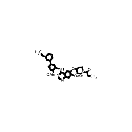 C=CC(=O)N1CCC(Oc2cc3c(Nc4cc(-c5cccc(C=C)c5)ccc4OC)ncnc3cc2OC)CC1